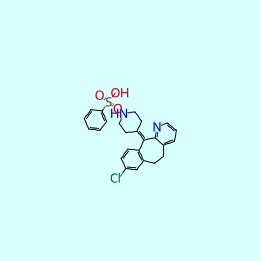 Clc1ccc2c(c1)CCc1cccnc1C2=C1CCNCC1.O=S(=O)(O)c1ccccc1